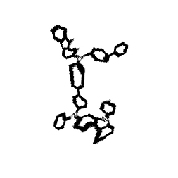 c1ccc(-c2ccc(N(c3ccc(-c4ccc(N(c5ccccc5)c5ccc6c7ccccc7n(-c7ccccc7)c6c5)cc4)cc3)c3ccc4c(c3)Cc3ccccc3-4)cc2)cc1